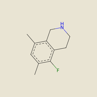 Cc1cc(C)c2c(c1F)CCNC2